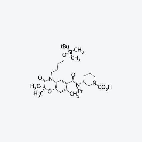 Cc1cc2c(cc1C(=O)N(C(C)C)[C@@H]1CCCN(C(=O)O)C1)N(CCCCO[Si](C)(C)C(C)(C)C)C(=O)C(C)(C)O2